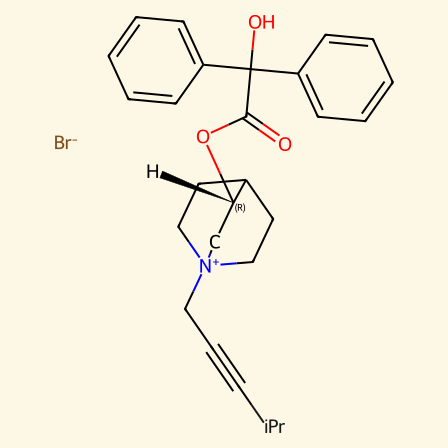 CC(C)C#CC[N+]12CCC(CC1)[C@@H](OC(=O)C(O)(c1ccccc1)c1ccccc1)C2.[Br-]